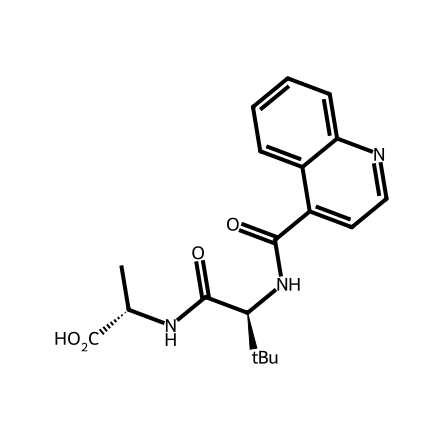 C[C@H](NC(=O)[C@@H](NC(=O)c1ccnc2ccccc12)C(C)(C)C)C(=O)O